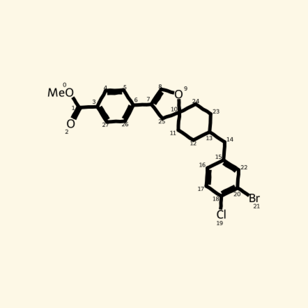 COC(=O)c1ccc(C2=COC3(CCC(Cc4ccc(Cl)c(Br)c4)CC3)C2)cc1